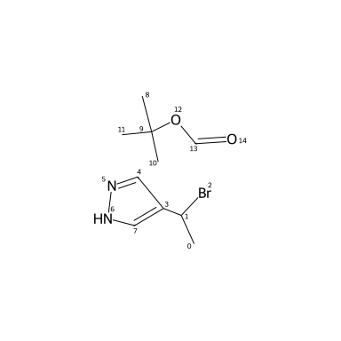 CC(Br)c1cn[nH]c1.CC(C)(C)OC=O